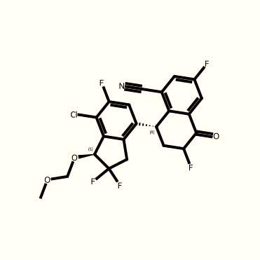 COCO[C@H]1c2c(Cl)c(F)cc([C@H]3CC(F)C(=O)c4cc(F)cc(C#N)c43)c2CC1(F)F